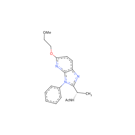 COCCOc1ccc2nc([C@H](C)NC(C)=O)n(-c3ccccc3)c2n1